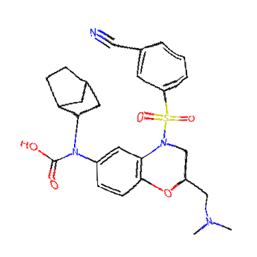 CN(C)CC1CN(S(=O)(=O)c2cccc(C#N)c2)c2cc(N(C(=O)O)C3CC4CCC3C4)ccc2O1